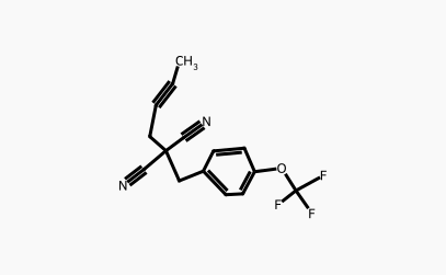 CC#CCC(C#N)(C#N)Cc1ccc(OC(F)(F)F)cc1